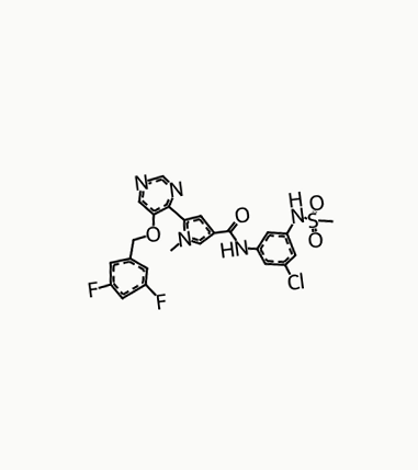 Cn1cc(C(=O)Nc2cc(Cl)cc(NS(C)(=O)=O)c2)cc1-c1ncncc1OCc1cc(F)cc(F)c1